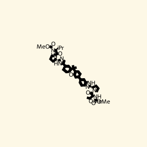 COC(=O)N[C@H](C(=O)N1CCC[C@H]1c1ncc(-c2ccc3c(c2)C(C)(C)c2ccc(-c4ccc5nc([C@@H]6CCCN6C(=O)[C@@H](NC(=O)OC)[C@@H](C)OC)[nH]c5c4)cc2O3)[nH]1)C(C)C